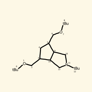 CC(C)(C)OCC1CC(COC(C)(C)C)C2CN(C(C)(C)C)CC12